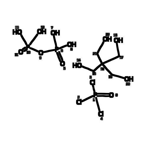 O=P(Cl)(Cl)Cl.O=P(O)(O)OP(=O)(O)O.OCC(CO)(CO)CO